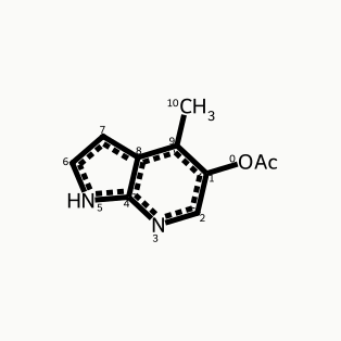 CC(=O)Oc1cnc2[nH]ccc2c1C